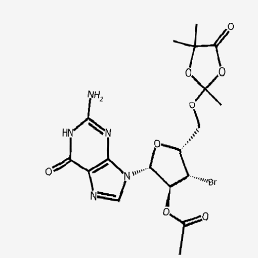 CC(=O)O[C@@H]1[C@@H](Br)[C@@H](COC2(C)OC(=O)C(C)(C)O2)O[C@H]1n1cnc2c(=O)[nH]c(N)nc21